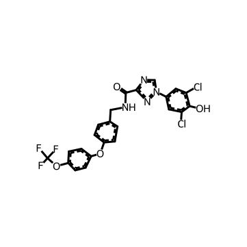 O=C(NCc1ccc(Oc2ccc(OC(F)(F)F)cc2)cc1)c1ncn(-c2cc(Cl)c(O)c(Cl)c2)n1